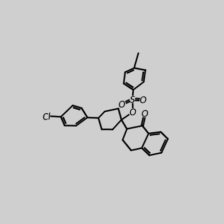 Cc1ccc(S(=O)(=O)OC2(C3CCc4ccccc4C3=O)CCC(c3ccc(Cl)cc3)CC2)cc1